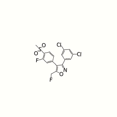 CS(=O)(=O)c1ccc(-c2c(-c3cc(Cl)cc(Cl)c3)noc2CF)cc1F